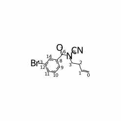 C=CCCN(C#N)C(=O)c1cccc(Br)c1